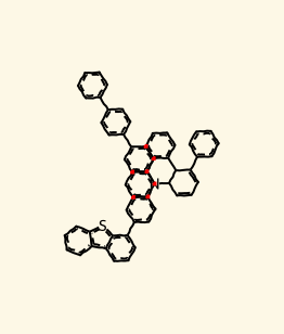 C1=CC(N(c2ccc(-c3ccc(-c4ccccc4)cc3)cc2)c2ccc(-c3cccc4c3sc3ccccc34)cc2)C(c2ccccc2-c2ccccc2)C(c2ccccc2)=C1